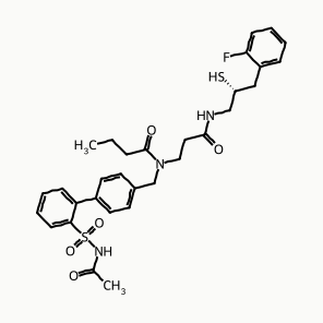 CCCC(=O)N(CCC(=O)NC[C@H](S)Cc1ccccc1F)Cc1ccc(-c2ccccc2S(=O)(=O)NC(C)=O)cc1